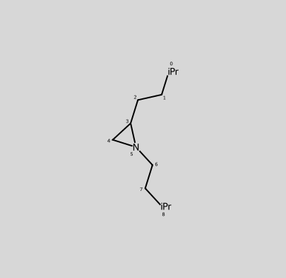 CC(C)CCC1CN1CCC(C)C